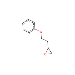 [c]1ccccc1OCCC1CO1